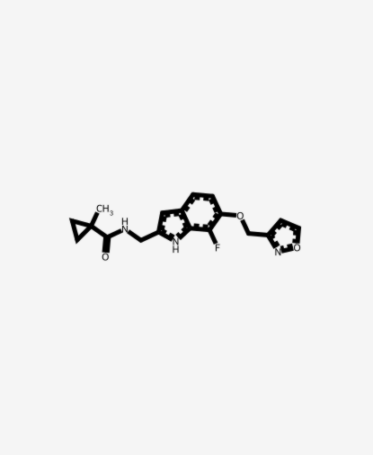 CC1(C(=O)NCc2cc3ccc(OCc4ccon4)c(F)c3[nH]2)CC1